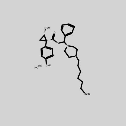 CCCCCCCCCCCCCCCCN1CCN(C(OC(=O)[C@]2(c3ccc(OC)cc3)C[C@@H]2OC)c2ccccc2)CC1.Cl.Cl